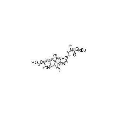 C=CC1=C(/N=C\OCCN(C)C(=O)OC(C)(C)C)NC(=O)[C@]12Cc1cc(C(=O)O)cnc1C2